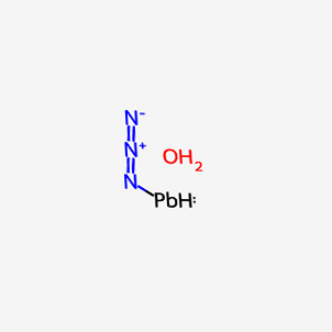 O.[N-]=[N+]=[N][PbH]